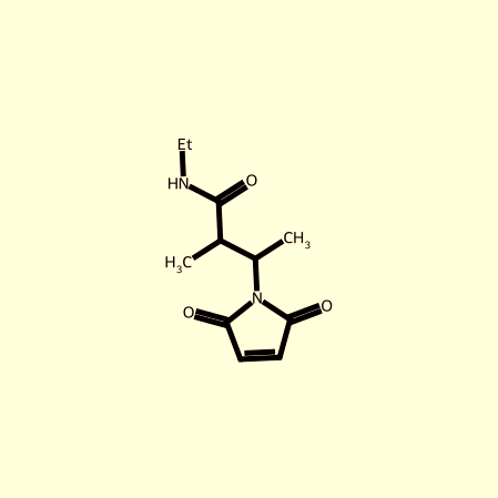 CCNC(=O)C(C)C(C)N1C(=O)C=CC1=O